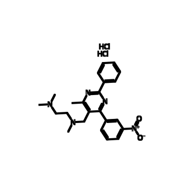 Cc1nc(-c2ccccc2)nc(-c2cccc([N+](=O)[O-])c2)c1CN(C)CCN(C)C.Cl.Cl